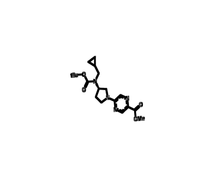 COC(=O)c1cnc(N2CC[C@@H](N(CC3CC3)C(=O)OC(C)(C)C)C2)cn1